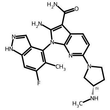 CN[C@H]1CCN(c2ccc3c(C(N)=O)c(N)n(-c4c(C)c(F)cc5[nH]ncc45)c3n2)C1